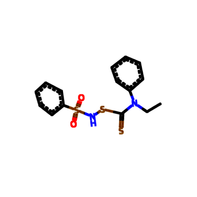 CCN(C(=S)SNS(=O)(=O)c1ccccc1)c1ccccc1